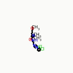 COCCCCc1cc(C(=O)NCCCN2CCN(c3cccc(Cl)c3Cl)CC2)c(C)n1C